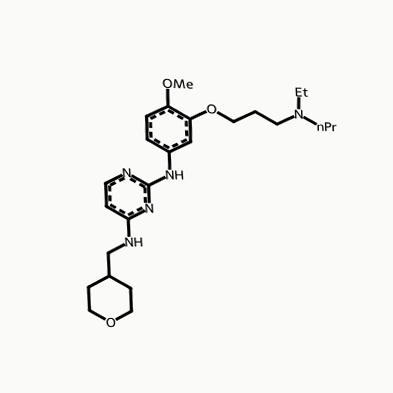 CCCN(CC)CCCOc1cc(Nc2nccc(NCC3CCOCC3)n2)ccc1OC